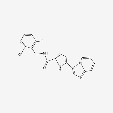 O=C(NCc1c(F)cccc1Cl)c1ccc(-c2cnc3ccccn23)[nH]1